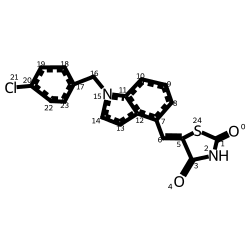 O=C1NC(=O)/C(=C/c2cccc3c2ccn3Cc2ccc(Cl)cc2)S1